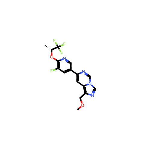 COCc1ncn2cnc(-c3cnc(O[C@H](C)C(F)(F)F)c(F)c3)cc12